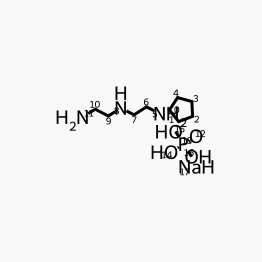 C1CCCC1.NCCNCCN.O=P(O)(O)O.[NaH]